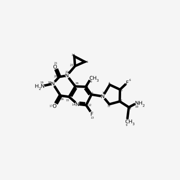 Cc1c(N2CC(F)C(C(C)N)C2)c(F)nc2c(=O)n(N)c(=O)n(C3CC3)c12